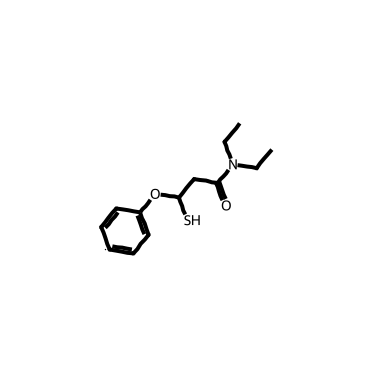 CCN(CC)C(=O)CC(S)Oc1cc[c]cc1